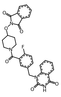 O=C(c1cc(Cn2c(=O)[nH]c(=O)c3ccccc32)ccc1F)N1CCC(ON2C(=O)c3ccccc3C2=O)CC1